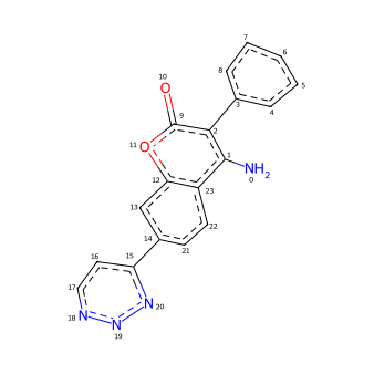 Nc1c(-c2ccccc2)c(=O)oc2cc(-c3ccnnn3)ccc12